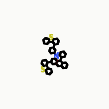 c1cc(-c2cccc3sc4ccccc4c23)cc(N(c2cccc(-c3cccc4sc5ccccc5c34)c2)c2ccccc2-c2cccc3ccccc23)c1